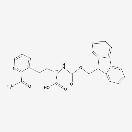 NC(=O)c1ncccc1CC[C@H](NC(=O)OCC1c2ccccc2-c2ccccc21)C(=O)O